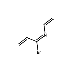 C=C/N=C(/Br)C=C